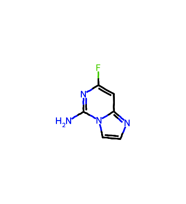 Nc1nc(F)cc2nccn12